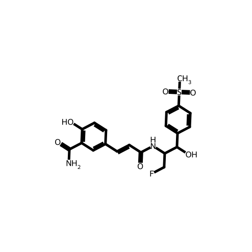 CS(=O)(=O)c1ccc(C(O)C(CF)NC(=O)/C=C/c2ccc(O)c(C(N)=O)c2)cc1